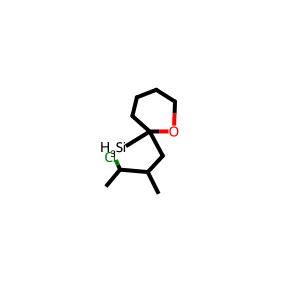 CC(Cl)C(C)CC1([SiH3])CCCCO1